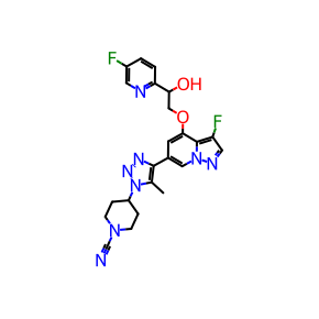 Cc1c(-c2cc(OCC(O)c3ccc(F)cn3)c3c(F)cnn3c2)nnn1C1CCN(C#N)CC1